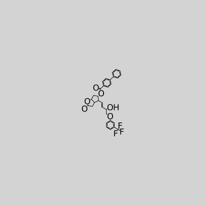 O=C1CC2C(CC(OC(=O)c3ccc(-c4ccccc4)cc3)C2C=CC(O)COc2cccc(C(F)(F)F)c2)O1